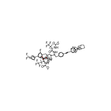 COC(=O)N[C@H](C(=O)N[C@@H](Cc1ccc(C#Cc2cnc(N3CC4CCC(C3)N4C3COC3)nc2)cc1)[C@H](CN(Cc1c(F)cc(-c2ccn(C(F)F)n2)cc1F)NC(=O)[C@@H](NC(=O)OC)C(C)(C)C(F)(F)F)O[PH](=O)O)C(C)(C)C(F)(F)F